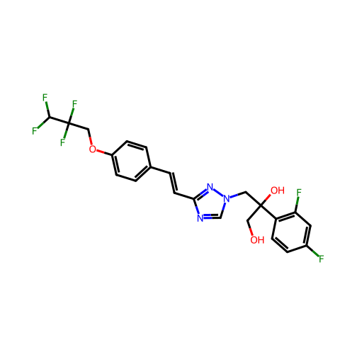 OCC(O)(Cn1cnc(C=Cc2ccc(OCC(F)(F)C(F)F)cc2)n1)c1ccc(F)cc1F